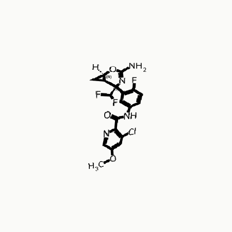 COc1cnc(C(=O)Nc2ccc(F)c([C@@]3(C(F)F)N=C(N)O[C@@H]4CC43)c2)c(Cl)c1